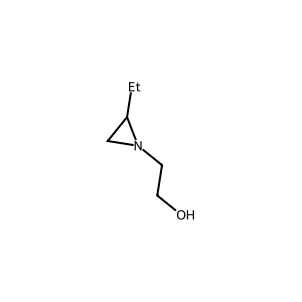 CCC1CN1CCO